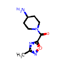 Cc1noc(C(=O)N2CCC(N)CC2)n1